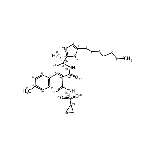 CCCCCCCc1cnc([C@]2(C)CC(c3ccc(C)cc3)=C(C(=O)NS(=O)(=O)C3CC3)C(=O)N2)s1